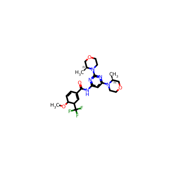 COC1C=CC(C(=O)Nc2cc(N3CCOC[C@@H]3C)nc(N3CCOC[C@@H]3C)n2)=CC1C(F)(F)F